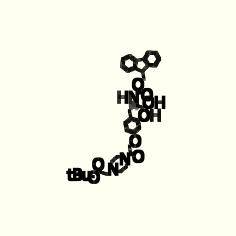 CC(C)(C)OC(=O)CN1CCN(C(=O)COc2ccc(C[C@H](NC(=O)OCC3c4ccccc4-c4ccccc43)C(O)O)cc2)CC1